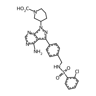 Nc1ncnc2c1c(-c1ccc(CNS(=O)(=O)c3ccccc3Cl)cc1)nn2C1CCCN(C(=O)O)C1